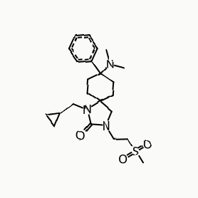 CN(C)C1(c2ccccc2)CCC2(CC1)CN(CCS(C)(=O)=O)C(=O)N2CC1CC1